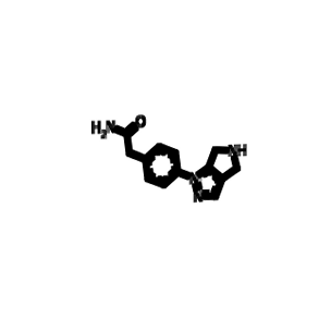 NC(=O)Cc1ccc(-n2ncc3c2CNC3)cc1